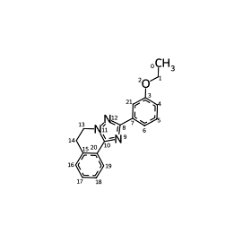 CCOc1cccc(-c2nc3n(n2)CCc2ccccc2-3)c1